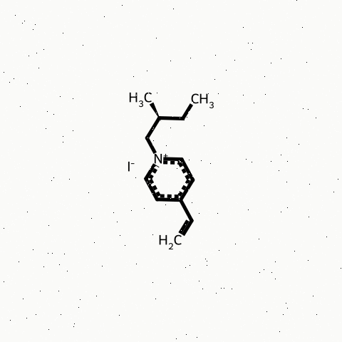 C=Cc1cc[n+](C[C@@H](C)CC)cc1.[I-]